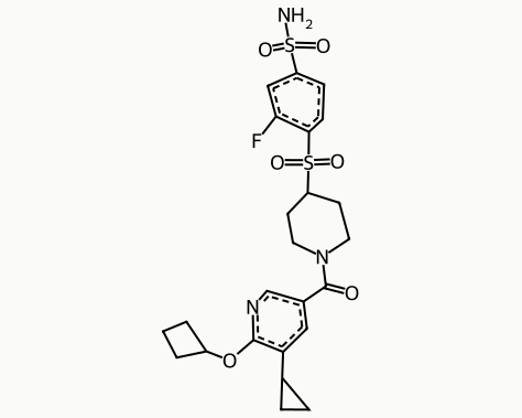 NS(=O)(=O)c1ccc(S(=O)(=O)C2CCN(C(=O)c3cnc(OC4CCC4)c(C4CC4)c3)CC2)c(F)c1